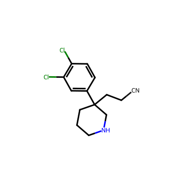 N#CCCC1(c2ccc(Cl)c(Cl)c2)CCCNC1